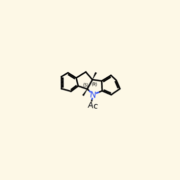 CC(=O)N1c2ccccc2[C@@]2(C)Cc3ccccc3[C@@]12C